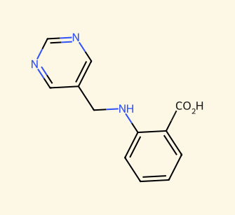 O=C(O)c1ccccc1NCc1cncnc1